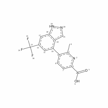 Cc1nc(C(=O)O)ccc1-c1cc(C(F)(F)F)cc2[nH]ncc12